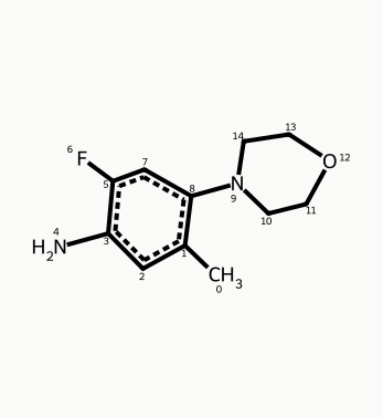 Cc1cc(N)c(F)cc1N1CCOCC1